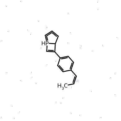 C/C=C\c1ccc(C2=C[PH]3=C=C=CC23)cc1